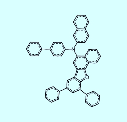 c1ccc(-c2ccc(N(c3ccc4ccccc4c3)c3cc4c5cc(-c6ccccc6)cc(-c6ccccc6)c5oc4c4ccccc34)cc2)cc1